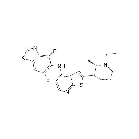 CCN1CCCC(c2cc3c(Nc4c(F)cc5scnc5c4F)ccnc3s2)[C@H]1C